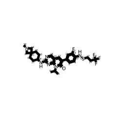 CC(C)n1c(=O)c(-c2ccc(NSCCC(F)(F)F)c(F)c2)cc2cnc(NC3CCC4(CC3)CN(C)C4)nc21